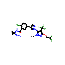 Cn1nc(OCC(F)F)c(C(F)(F)F)c1-n1cc(-c2ccc(Cl)c(C(=O)NC3(N)CC3)c2)cn1